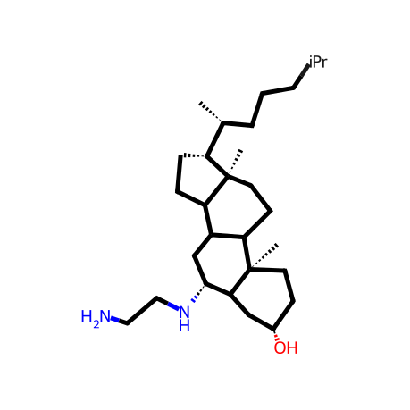 CC(C)CCC[C@@H](C)[C@H]1CCC2C3C[C@@H](NCCN)C4C[C@@H](O)CC[C@]4(C)C3CC[C@@]21C